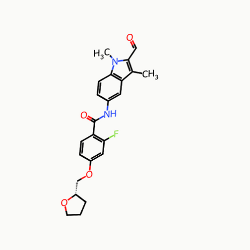 Cc1c(C=O)n(C)c2ccc(NC(=O)c3ccc(OC[C@@H]4CCCO4)cc3F)cc12